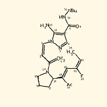 C=C(/C=C\n1ncc(C(=O)NCCCC)c1N)N1CCC[C@@H]1/C(=C/C(F)=C\C)C(C)=O